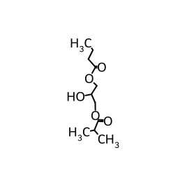 CCCC(=O)OCC(O)COC(=O)C(C)C